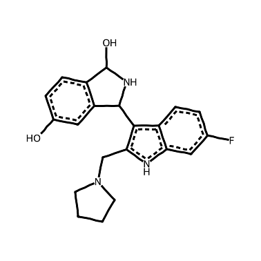 Oc1ccc2c(c1)C(c1c(CN3CCCC3)[nH]c3cc(F)ccc13)NC2O